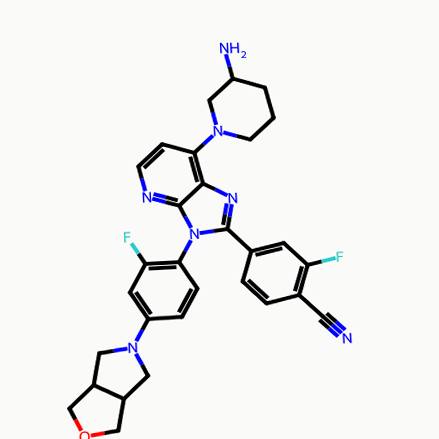 N#Cc1ccc(-c2nc3c(N4CCCC(N)C4)ccnc3n2-c2ccc(N3CC4COCC4C3)cc2F)cc1F